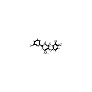 CCc1cccc(-c2nc(C(F)(F)F)c(Oc3ccc(Cl)c(Cl)c3)c(=O)[nH]2)n1